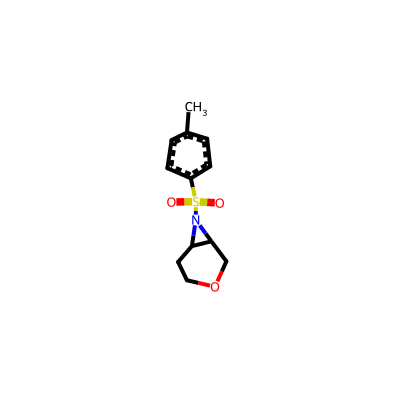 Cc1ccc(S(=O)(=O)N2C3CCOCC32)cc1